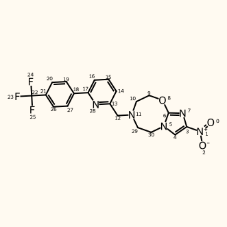 O=[N+]([O-])c1cn2c(n1)OCCN(Cc1cccc(-c3ccc(C(F)(F)F)cc3)n1)CC2